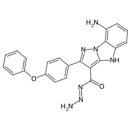 NN=NC(=O)c1c(-c2ccc(Oc3ccccc3)cc2)nn2c1[nH]c1cccc(N)c12